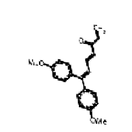 C=CC(=O)C=CC=C(c1ccc(OC)cc1)c1ccc(OC)cc1